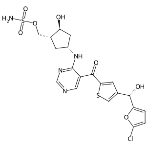 NS(=O)(=O)OC[C@H]1C[C@@H](Nc2ncncc2C(=O)c2cc([C@H](O)c3ccc(Cl)o3)cs2)C[C@@H]1O